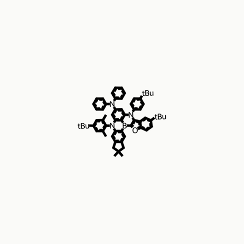 Cc1cc(C(C)(C)C)cc(C)c1N1c2cc3c(cc2B2c4oc5ccc(C(C)(C)C)cc5c4N(c4ccc(C(C)(C)C)cc4)c4cc(N(c5ccccc5)c5ccccc5)cc1c42)CC(C)(C)C3